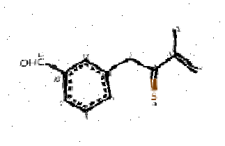 C=C(C)C(=S)Cc1cccc(C=O)c1